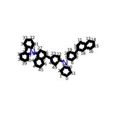 c1ccc(N(c2ccc(-c3ccc4ccccc4c3)cc2)c2ccc(-c3ccc(-n4c5ccccc5c5ccccc54)c4ccccc34)cc2)cc1